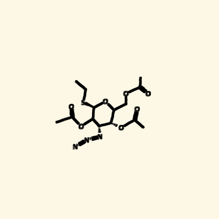 CCS[C@H]1OC(COC(C)=O)[C@H](OC(C)=O)[C@H](N=[N+]=[N-])C1OC(C)=O